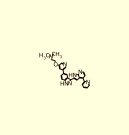 CN(C)CCOc1cncc(-c2ccc3[nH]nc(-c4cc5c(-c6ccccn6)ccnc5[nH]4)c3c2)c1